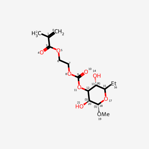 C=C(C)C(=O)OCCOC(=O)OC1[C@H](O)C(CC)O[C@H](OC)[C@H]1O